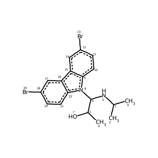 CC(C)NC(C(C)O)n1c2ccc(Br)cc2c2cc(Br)ccc21